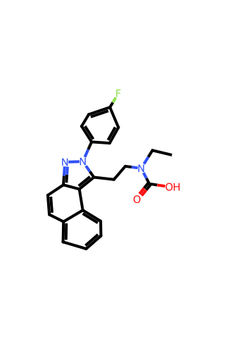 CCN(CCc1c2c(ccc3ccccc32)nn1-c1ccc(F)cc1)C(=O)O